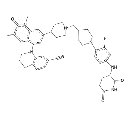 Cc1cc2c(N3CCCc4ccc(C#N)cc43)cc(C3CCN(CC4CCN(c5ccc(NC6CCC(=O)NC6=O)cc5F)CC4)CC3)cc2n(C)c1=O